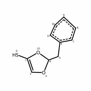 SC1=COC(Cc2ccccc2)O1